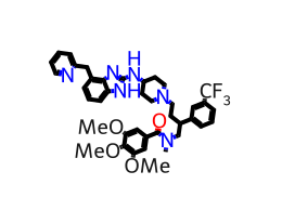 COc1cc(C(=O)N(C)CC(CCN2CCC(Nc3nc4c(Cc5ccccn5)cccc4[nH]3)CC2)c2cccc(C(F)(F)F)c2)cc(OC)c1OC